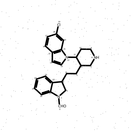 O=CN1CC(CCC2CNCCC2n2ccc3ccc(Cl)cc32)c2ccccc21